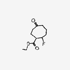 CCOC(=O)C1CCC(=O)CCCC1F